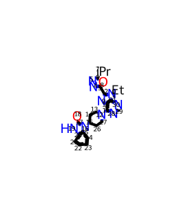 CCn1c(-c2nnc(C(C)C)o2)nc2c(N3CCC(n4c(=O)[nH]c5ccccc54)CC3)ncnc21